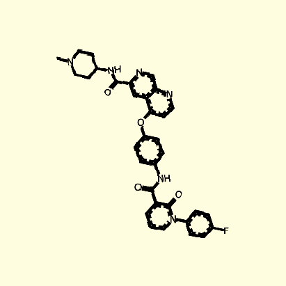 CN1CCC(NC(=O)c2cc3c(Oc4ccc(NC(=O)c5cccn(-c6ccc(F)cc6)c5=O)cc4)ccnc3cn2)CC1